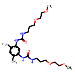 COCCOCCCNC(=O)Nc1cc(NC(=O)NCCCOCCOC)c(C)cc1C